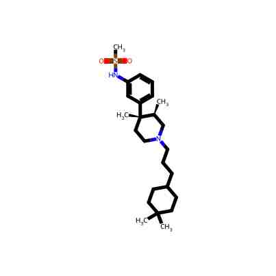 C[C@H]1CN(CCCC2CCC(C)(C)CC2)CC[C@]1(C)c1cccc(NS(C)(=O)=O)c1